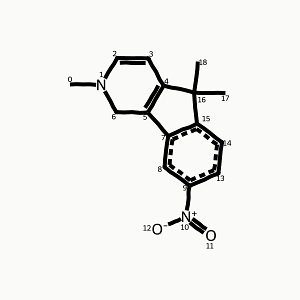 CN1C=CC2=C(C1)c1cc([N+](=O)[O-])ccc1C2(C)C